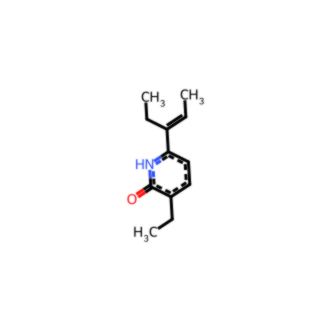 C/C=C(\CC)c1ccc(CC)c(=O)[nH]1